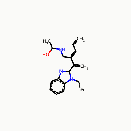 C=C/C=C(\CNC(C)O)C(=C)C1Nc2ccccc2N1CC(C)C